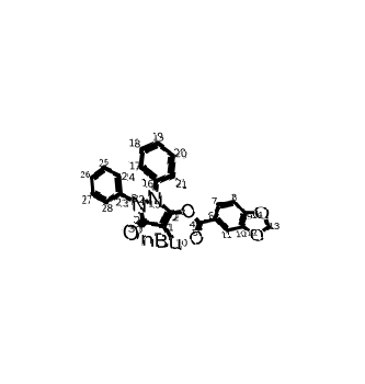 CCCCc1c(OC(=O)c2ccc3c(c2)OCO3)n(-c2ccccc2)n(-c2ccccc2)c1=O